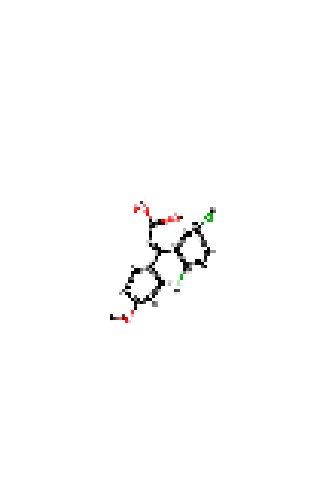 COc1ccc(/C(=C/C(=O)O)c2cc(Cl)ccc2Cl)cc1